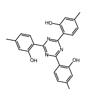 Cc1ccc(-c2nc(-c3ccc(C)cc3O)nc(-c3ccc(C)cc3O)n2)c(O)c1